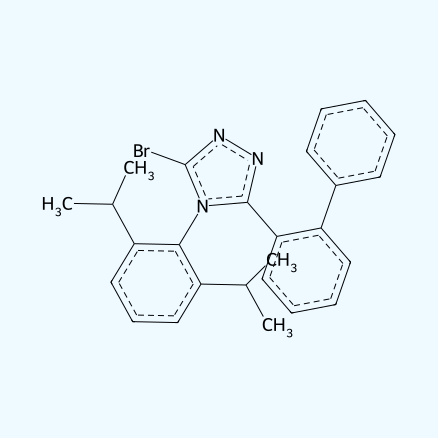 CC(C)c1cccc(C(C)C)c1-n1c(Br)nnc1-c1ccccc1-c1ccccc1